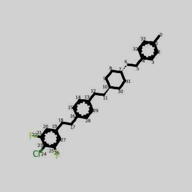 Cc1ccc(CC[C@H]2CC[C@H](CCc3ccc(CCc4cc(F)c(Cl)c(F)c4)cc3)CC2)cc1